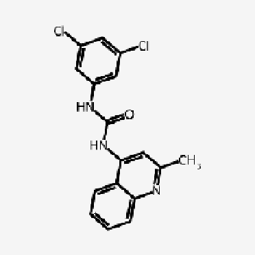 Cc1cc(NC(=O)Nc2cc(Cl)cc(Cl)c2)c2ccccc2n1